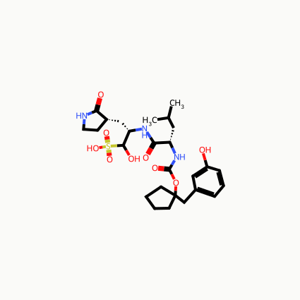 CC(C)C[C@H](NC(=O)OC1(Cc2cccc(O)c2)CCCC1)C(=O)N[C@@H](C[C@@H]1CCNC1=O)C(O)S(=O)(=O)O